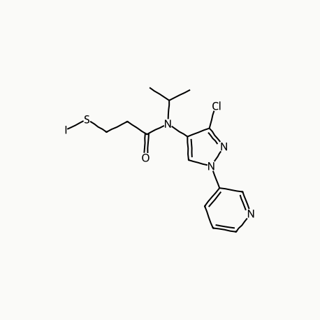 CC(C)N(C(=O)CCSI)c1cn(-c2cccnc2)nc1Cl